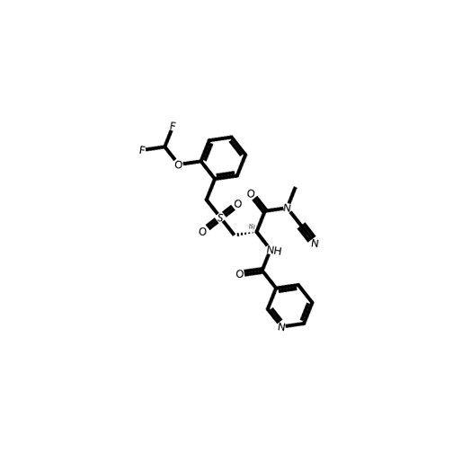 CN(C#N)C(=O)[C@@H](CS(=O)(=O)Cc1ccccc1OC(F)F)NC(=O)c1cccnc1